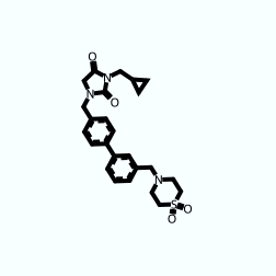 O=C1CN(Cc2ccc(-c3cccc(CN4CCS(=O)(=O)CC4)c3)cc2)C(=O)N1CC1CC1